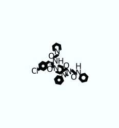 O=C(CN1CN(c2ccccc2)C2(CCN(C(=O)[C@@H](Cc3ccc(Cl)cc3)NC(=O)CN3CCCCC3)CC2)C1=O)NC1CCCCC1